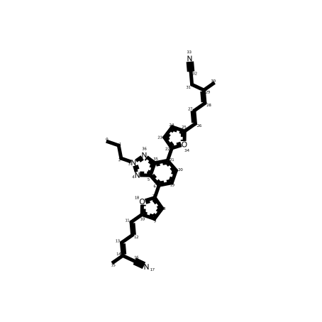 CCCn1nc2c(-c3ccc(/C=C/C=C(/C)C#N)o3)ccc(-c3ccc(/C=C/C=C(/C)CC#N)o3)c2n1